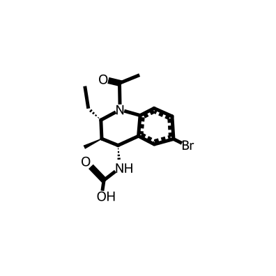 CC[C@H]1[C@H](C)[C@@H](NC(=O)O)c2cc(Br)ccc2N1C(C)=O